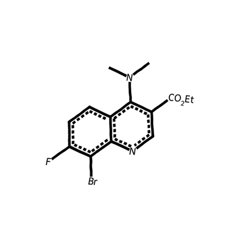 CCOC(=O)c1cnc2c(Br)c(F)ccc2c1N(C)C